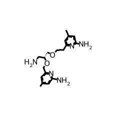 Cc1cc(N)nc(CCOC[C@@H](CN)OCc2cc(C)cc(N)n2)c1